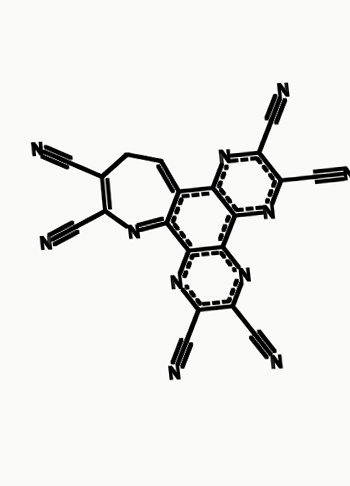 N#CC1=C(C#N)N=c2c(c3nc(C#N)c(C#N)nc3c3nc(C#N)c(C#N)nc23)=CC1